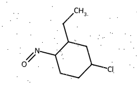 CCC1CC(Cl)CCC1N=O